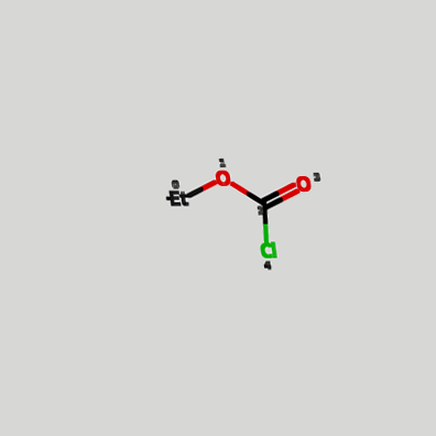 C[CH]OC(=O)Cl